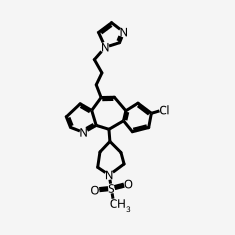 CS(=O)(=O)N1CCC(C2c3ccc(Cl)cc3C=C(CCCn3ccnc3)c3cccnc32)CC1